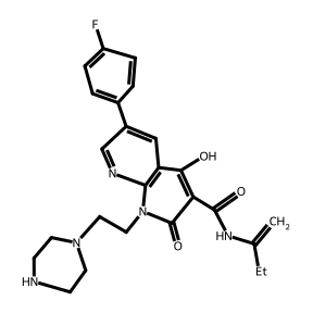 C=C(CC)NC(=O)c1c(O)c2cc(-c3ccc(F)cc3)cnc2n(CCN2CCNCC2)c1=O